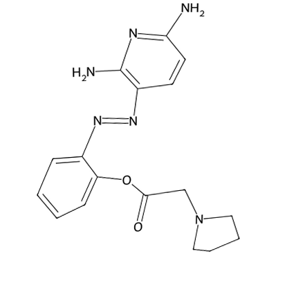 Nc1ccc(/N=N/c2ccccc2OC(=O)CN2CCCC2)c(N)n1